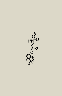 CCOC(=O)NCCC(COc1ccc(C)c2c(=O)ocnc12)C1CC1